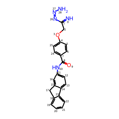 N=C(COc1ccc(C(=O)Nc2ccc3c(c2)Cc2ccccc2-3)cc1)/N=N\N